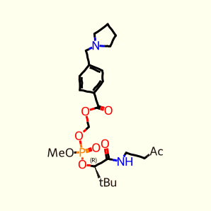 COP(=O)(OCOC(=O)c1ccc(CN2CCCC2)cc1)O[C@@H](C(=O)NCCC(C)=O)C(C)(C)C